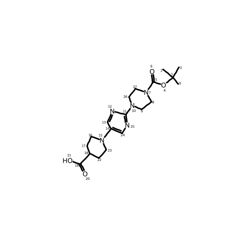 CC(C)(C)OC(=O)N1CCN(c2ncc(N3CCC(C(=O)O)CC3)cn2)CC1